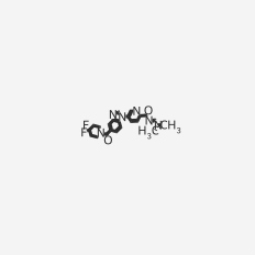 CN(C)/C=N/C(=O)c1ccc(-n2cnc3cc(C(=O)N4CCC(F)(F)CC4)ccc32)cn1